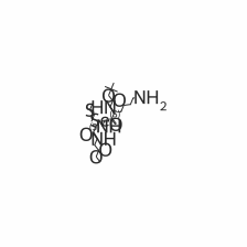 COC(=O)CNC(=O)[C@H](CCSC)N[Se]C(=O)[C@H](CCCCN)NC(=O)OC(C)(C)C